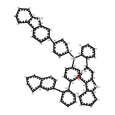 c1ccc(-c2ccc3ccccc3c2)c(-c2ccc(N(c3ccc(-c4ccc5c(c4)sc4ccccc45)cc3)c3ccccc3-c3ccc4c(c3)sc3ccccc34)cc2)c1